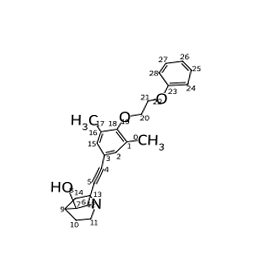 Cc1cc(C#CC2C(O)C3CCN2CC3)cc(C)c1OCCOc1ccccc1